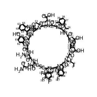 CCCC[C@H]1C(=O)N2C[C@H](O)C[C@@H]2C(=O)N[C@@H](CC(=O)O)C(=O)N[C@@H](C(C)C)C(=O)N(C)[C@@H](Cc2ccccc2)C(=O)N[C@@H](CCC(=O)O)C(=O)N2CCOC[C@@H]2C(=O)N[C@@H](Cc2c[nH]c3ccccc23)C(=O)N[C@@H](Cc2ccc(O)cc2)C(=O)N[C@@H](CN)C(=O)N[C@H](C(=O)NCC(N)=O)CSCC(=O)N[C@@H](Cc2cc(F)c(F)c(F)c2)C(=O)N(C)C(Cc2ccc(F)cc2)C(=O)N1C